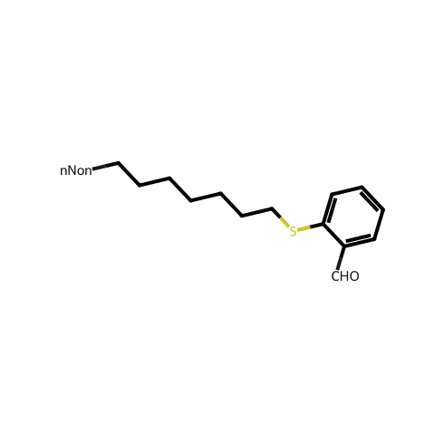 CCCCCCCCCCCCCCCCSc1ccccc1C=O